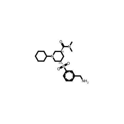 CN(C)C(=O)[C@H]1C[C@H](S(=O)(=O)c2cccc(CN)c2)CN(C2CCCCC2)C1